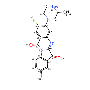 CC1CN(c2cc3nc4n(c(=O)c3cc2F)-c2ccc(I)cc2C4=O)CCN1